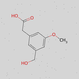 COc1cc(CO)cc(CC(=O)O)c1